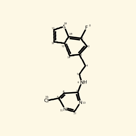 Fc1cc(CCNc2cc(Cl)ncn2)cc2ccsc12